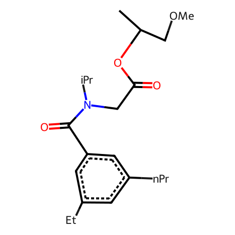 CCCc1cc(CC)cc(C(=O)N(CC(=O)OC(C)COC)C(C)C)c1